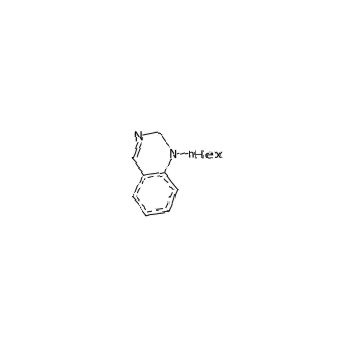 CCCCCCN1CN=Cc2ccccc21